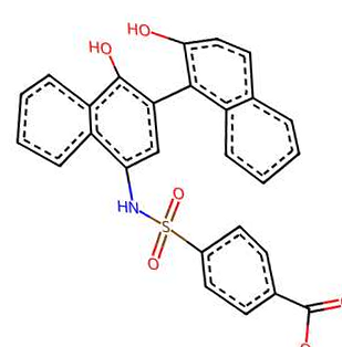 COC(=O)c1ccc(S(=O)(=O)Nc2cc(-c3c(O)ccc4ccccc34)c(O)c3ccccc23)cc1